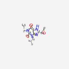 CCCn1c(=O)c2[nH]c(C3CO3)nc2n(CCC)c1=O